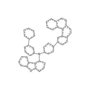 c1ccc(-c2cccc(N(c3ccc(-c4ccc5ccc6ccc7ccccc7c6c5c4)cc3)c3cccc4oc5ccccc5c34)c2)cc1